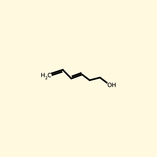 C=CC=CCCO